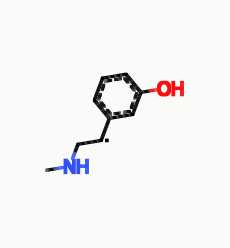 CNC[CH]c1cccc(O)c1